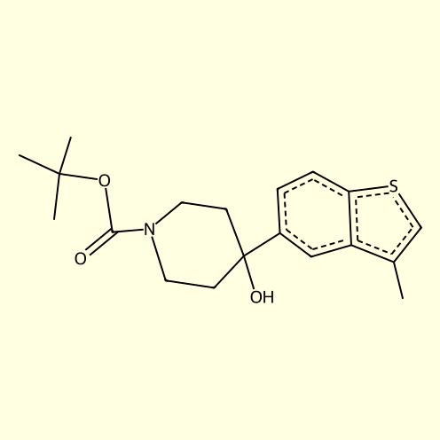 Cc1csc2ccc(C3(O)CCN(C(=O)OC(C)(C)C)CC3)cc12